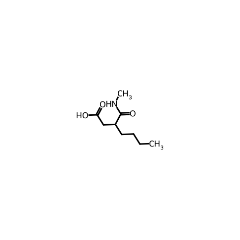 CCCCC(CC(=O)O)C(=O)NC